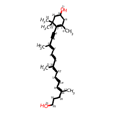 CC1=C(C#C/C(C)=C/C=C/C(C)=C/C=C/C=C(\C)CCCO)C(C)(C)CC(O)C1